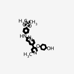 Cc1cc(-c2ccn3nc(Nc4ccc(S(=O)(=O)N(C)C)cc4)cc3c2)c(OC2CCC(O)CC2)cn1